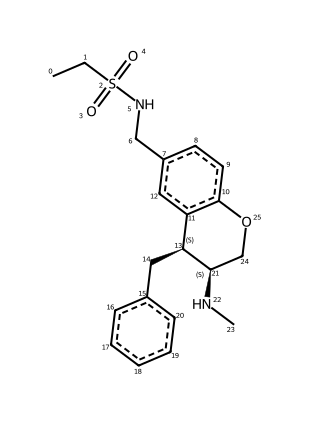 CCS(=O)(=O)NCc1ccc2c(c1)[C@H](Cc1ccccc1)[C@H](NC)CO2